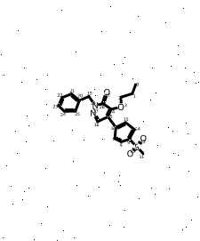 CCCOc1c(-c2ccc(S(C)(=O)=O)cc2)cnn(Cc2ccccc2)c1=O